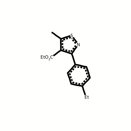 CCOC(=O)c1c(-c2ccc(CC)cc2)nsc1C